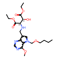 CCCCOCn1cc(CN[C@@H](C(=O)OCC)[C@H](O)C(=O)OCC)c2ncnc(OC)c21